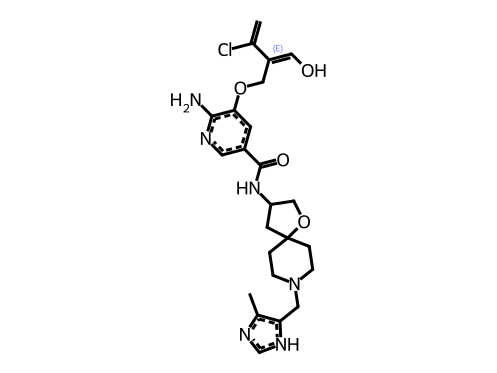 C=C(Cl)/C(=C/O)COc1cc(C(=O)NC2COC3(CCN(Cc4[nH]cnc4C)CC3)C2)cnc1N